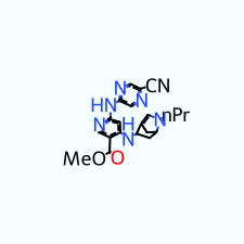 CCCN1C=C2CC1CC2Nc1cc(Nc2cnc(C#N)cn2)ncc1C(=O)OC